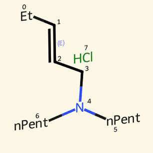 CC/C=C/CN(CCCCC)CCCCC.Cl